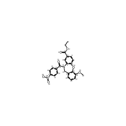 CCOC(=O)c1ccc2c(c1)N(C(=O)c1ccc([N+](=O)[O-])cc1)Cc1cccc(OC)c1O2